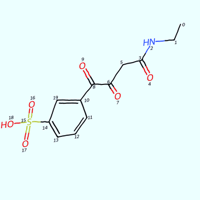 CCNC(=O)CC(=O)C(=O)c1cccc(S(=O)(=O)O)c1